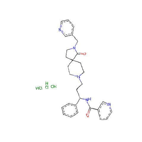 Cl.Cl.Cl.O=C(NC(CCN1CCC2(CC1)CCN(Cc1cccnc1)C2=O)c1ccccc1)c1cccnc1